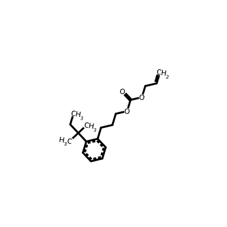 C=CCOC(=O)OCCCc1ccccc1C(C)(C)CC